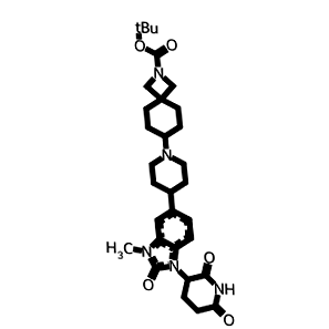 Cn1c(=O)n(C2CCC(=O)NC2=O)c2ccc(C3CCN(C4CCC5(CC4)CN(C(=O)OC(C)(C)C)C5)CC3)cc21